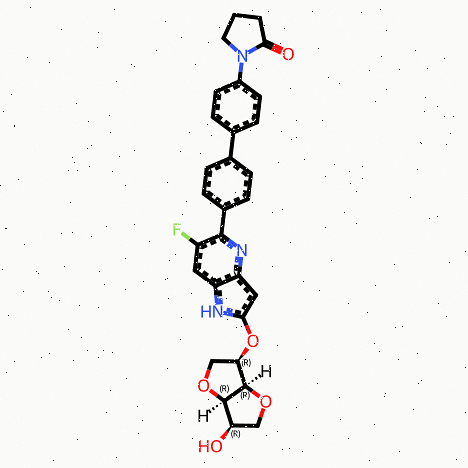 O=C1CCCN1c1ccc(-c2ccc(-c3nc4cc(O[C@@H]5CO[C@H]6[C@@H]5OC[C@H]6O)[nH]c4cc3F)cc2)cc1